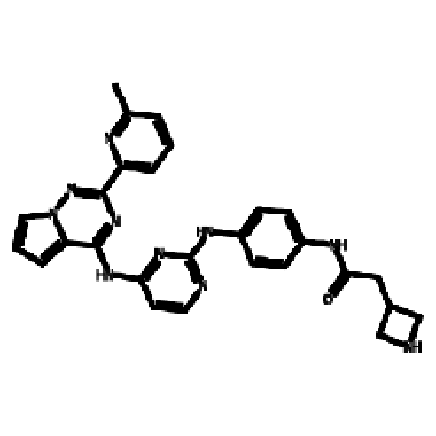 Cc1cccc(-c2nc(Nc3ccnc(Nc4ccc(NC(=O)CC5CNC5)cc4)n3)c3cccn3n2)n1